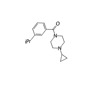 CC(C)c1cccc(C(=O)N2CCN(C3CC3)CC2)c1